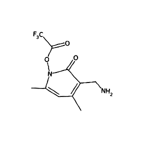 Cc1cc(C)n(OC(=O)C(F)(F)F)c(=O)c1CN